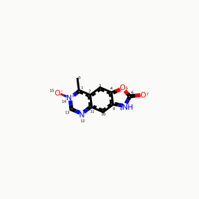 Cc1c2cc3oc(=O)[nH]c3cc2nc[n+]1[O-]